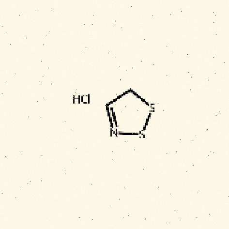 C1=NSSC1.Cl